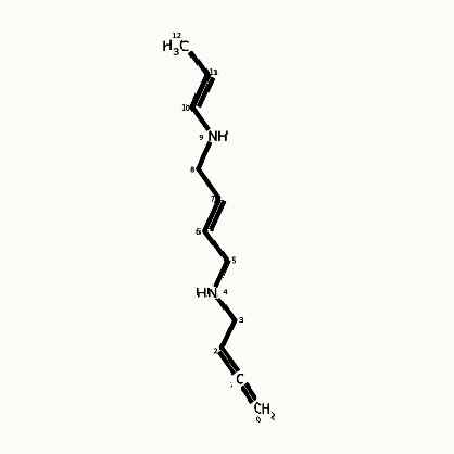 C=C=CCNC/C=C/CNC=CC